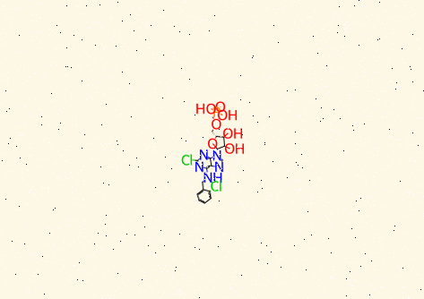 O=P(O)(O)COC[C@H]1O[C@@H](n2cnc3c(NCc4ccccc4Cl)nc(Cl)nc32)[C@H](O)[C@@H]1O